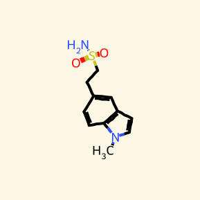 Cn1ccc2cc(CCS(N)(=O)=O)ccc21